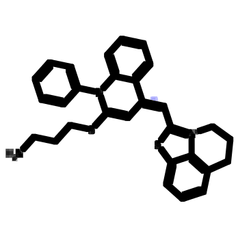 NCCCSC1=C/C(=C\c2sc3cccc4c3[n+]2CCC4)c2ccccc2N1c1ccccc1